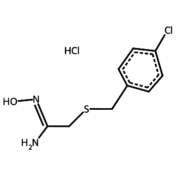 Cl.NC(CSCc1ccc(Cl)cc1)=NO